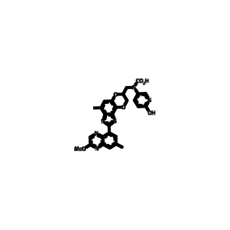 COc1cnc2c(-c3nc4c(C)cc5c(c4s3)OCC(CN(C(=O)O)c3ccc(O)nc3)O5)cc(C)cc2n1